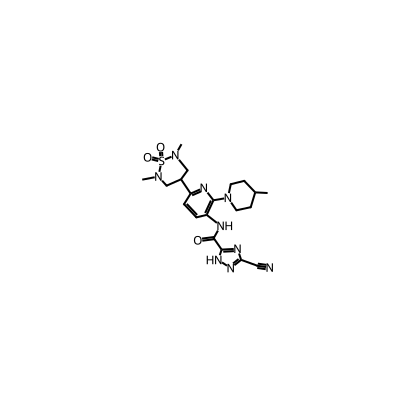 CC1CCN(c2nc(C3CN(C)S(=O)(=O)N(C)C3)ccc2NC(=O)c2nc(C#N)n[nH]2)CC1